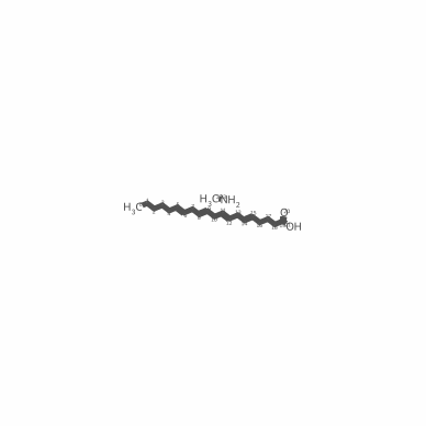 CCCCCC=CCC=CCC=CCC=CCCCC(=O)O.CN